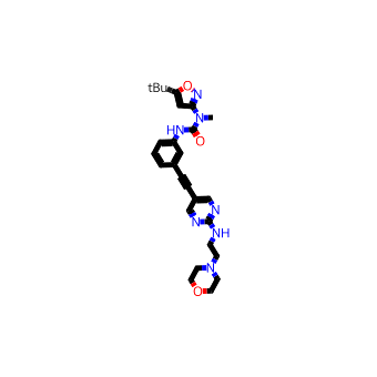 CN(C(=O)Nc1cccc(C#Cc2cnc(NCCN3CCOCC3)nc2)c1)c1cc(C(C)(C)C)on1